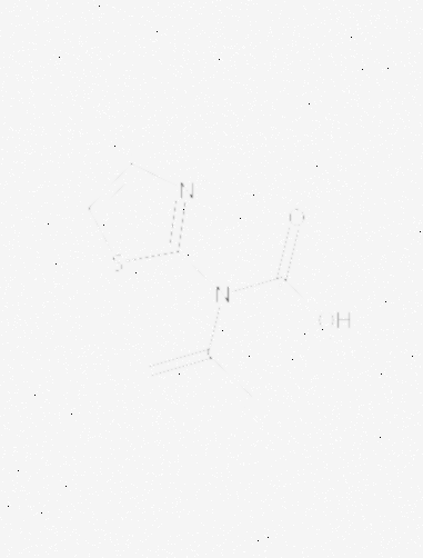 C=C(C)N(C(=O)O)c1nccs1